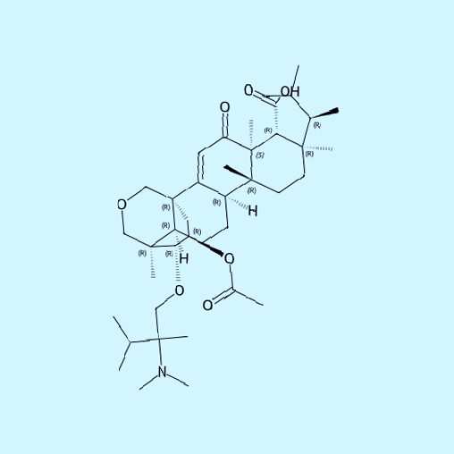 CC(=O)O[C@@H]1C[C@@]23COC[C@@](C)([C@@H]2CC[C@H]2C3=CC(=O)[C@@]3(C)[C@H](C(=O)O)[C@@](C)([C@H](C)C(C)C)CC[C@]23C)[C@H]1OCC(C)(C(C)C)N(C)C